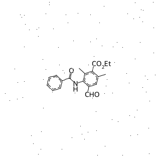 CCOC(=O)c1c(C)cc(C=O)c(NC(=O)c2ccccc2)c1C